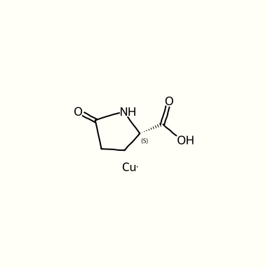 O=C1CC[C@@H](C(=O)O)N1.[Cu]